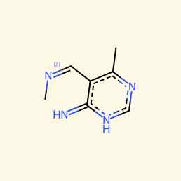 C/N=C\c1c(C)nc[nH]c1=N